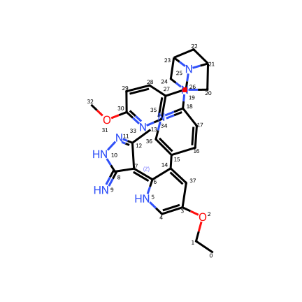 CCOC1=CN/C(=C2\C(=N)NN=C2C)C(c2ccc(N3CC4CC(C3)N4Cc3ccc(OC)nc3)nc2)=C1